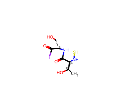 C[C@@H](O)[C@H](NS)C(=O)N[C@@H](CO)C(=O)I